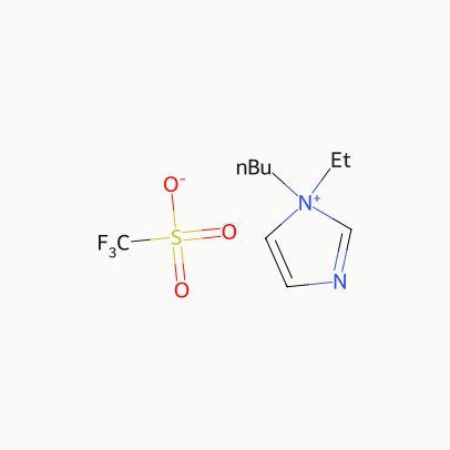 CCCC[N+]1(CC)C=CN=C1.O=S(=O)([O-])C(F)(F)F